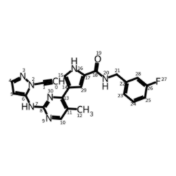 C#Cn1nccc1Nc1ncc(C)c(-c2c[nH]c(C(=O)NCc3cccc(F)c3)c2)n1